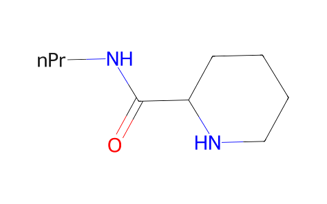 CCCNC(=O)C1CCCCN1